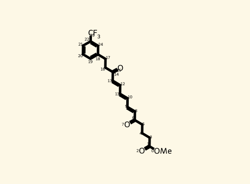 COC(=O)CCCC(=O)/C=C/C=C/C=C/C(=O)CCc1cccc(C(F)(F)F)c1